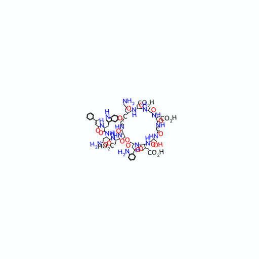 C/C(=C\C(=O)NC(Cc1c[nH]c2ccccc12)C(=O)NC(CC(N)=O)C(=O)NC(CC(=O)O)C(=O)NC1C(=O)NCC(=O)CC(CCCN)C(=O)NC(CC(=O)O)C(=O)NC(C)C(=O)NC(CC(=O)O)C(=O)NCC(=O)NC(CO)C(=O)NC(C(C)CC(=O)O)C(=O)NC(CC(=O)c2ccccc2N)C(=O)OC1C)c1ccccc1